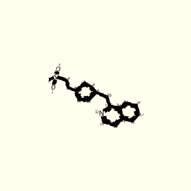 CS(=O)(=O)CCc1ccc(Cc2nccc3ccccc23)cc1